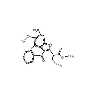 Bc1cc2oc(C(CC)C(=O)OC)c(C(=O)c3ccccc3)c2c(Br)c1OC